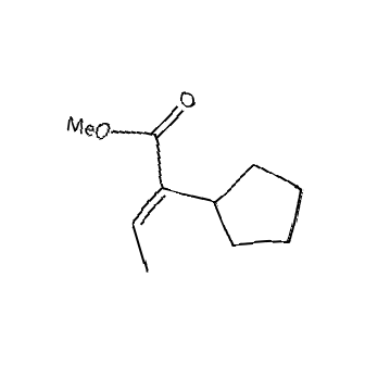 C/C=C(/C(=O)OC)C1CCCC1